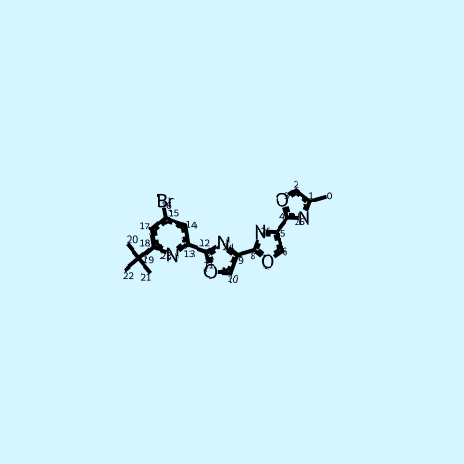 Cc1coc(-c2coc(-c3coc(-c4cc(Br)cc(C(C)(C)C)n4)n3)n2)n1